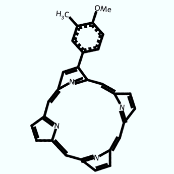 COc1ccc(C2=CC3=CC4=NC(=CC5=NC(=CC6=NC(=CC2=N3)C=C6)C=C5)C=C4)cc1C